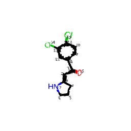 O=C(/C=C1\CCCN1)c1ccc(Cl)c(Cl)c1